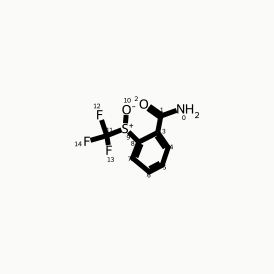 NC(=O)c1ccccc1[S+]([O-])C(F)(F)F